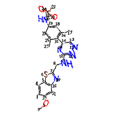 COc1ccc2sc(CNc3nncc(-c4c(C)cc(NS(C)(=O)=O)cc4C)n3)nc2c1